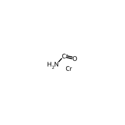 N[C-]=O.[Cr]